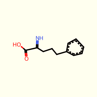 N=C(CCCc1ccccc1)C(=O)O